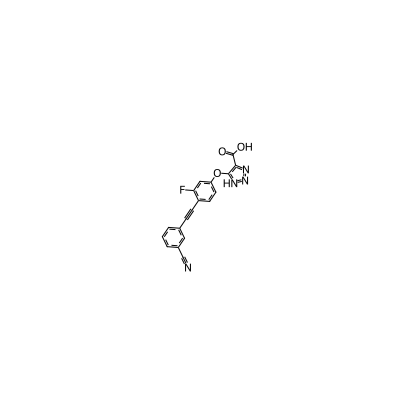 N#Cc1cccc(C#Cc2ccc(Oc3[nH]nnc3C(=O)O)cc2F)c1